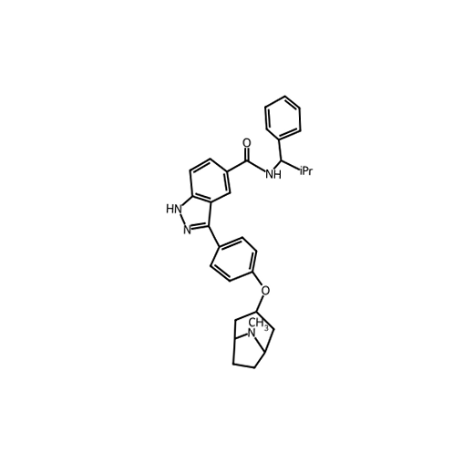 CC(C)C(NC(=O)c1ccc2[nH]nc(-c3ccc(OC4CC5CCC(C4)N5C)cc3)c2c1)c1ccccc1